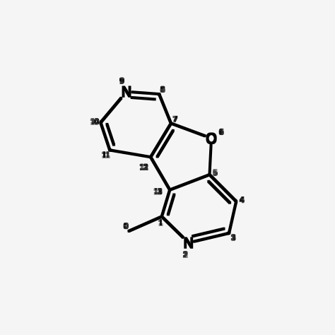 Cc1nccc2oc3cnccc3c12